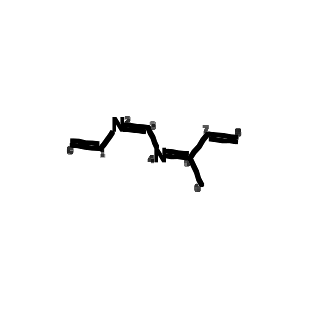 C=C/N=C\N=C(\C)C=C